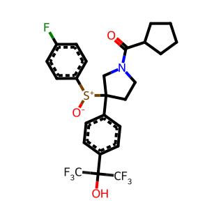 O=C(C1CCCC1)N1CCC(c2ccc(C(O)(C(F)(F)F)C(F)(F)F)cc2)([S+]([O-])c2ccc(F)cc2)C1